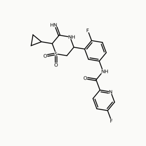 N=C1NC(c2cc(NC(=O)c3ccc(F)cn3)ccc2F)CS(=O)(=O)C1C1CC1